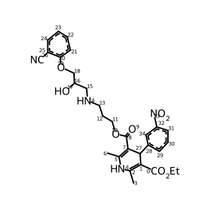 CCOC(=O)C1=C(C)NC(C)=C(C(=O)OCCCNCC(O)COc2ccccc2C#N)C1c1cccc([N+](=O)[O-])c1